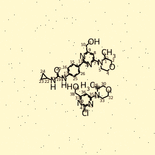 C[C@H]1COCCN1c1cc(CO)nc(-c2ccc(NC(=O)NC3CC3)cc2)n1.C[C@H]1COCCN1c1cc(CO)nc(Cl)n1